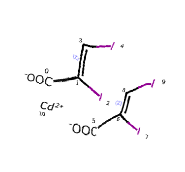 O=C([O-])/C(I)=C/I.O=C([O-])/C(I)=C/I.[Cd+2]